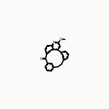 COc1cc2c3cc(ccc3n1)C(=O)c1cccc(c1)CCc1cccc-2c1